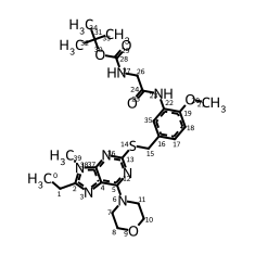 CCc1nc2c(N3CCOCC3)nc(SCc3ccc(OC)c(NC(=O)CNC(=O)OC(C)(C)C)c3)nc2n1C